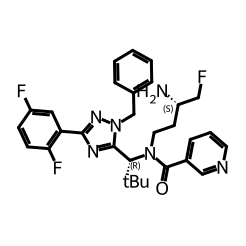 CC(C)(C)[C@H](c1nc(-c2cc(F)ccc2F)nn1Cc1ccccc1)N(CC[C@H](N)CF)C(=O)c1cccnc1